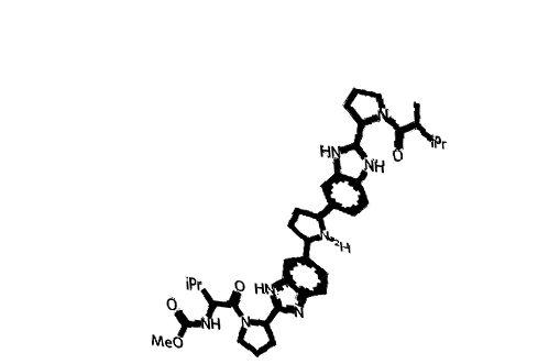 [2H]N1C(c2ccc3c(c2)NC(C2CCCN2C(=O)C(C)C(C)C)N3)CCC1c1ccc2nc(C3CCCN3C(=O)C(NC(=O)OC)C(C)C)[nH]c2c1